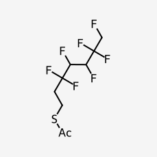 CC(=O)SCCC(F)(F)C(F)C(F)C(F)(F)CF